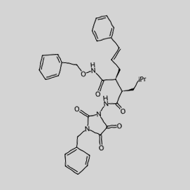 CC(C)C[C@@H](C(=O)NN1C(=O)C(=O)N(Cc2ccccc2)C1=O)[C@H](CC=Cc1ccccc1)C(=O)NOCc1ccccc1